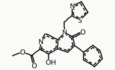 COC(=O)c1ncc2c(cc(-c3ccccc3)c(=O)n2Cc2nccs2)c1O